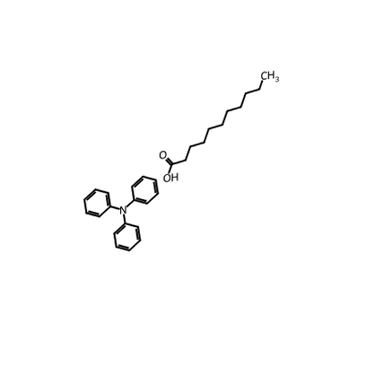 CCCCCCCCCCC(=O)O.c1ccc(N(c2ccccc2)c2ccccc2)cc1